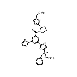 COCc1csc([C@H]2CCCN2C(=O)c2cc(-c3ncco3)nc(-c3nnc([C@@](C)(Cc4ccccc4)NC(=O)O)o3)c2)n1